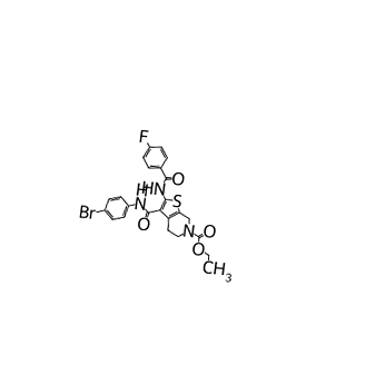 CCOC(=O)N1CCc2c(sc(NC(=O)c3ccc(F)cc3)c2C(=O)Nc2ccc(Br)cc2)C1